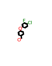 O=Cc1ccc(Oc2ccc(Cl)c(F)c2)cc1